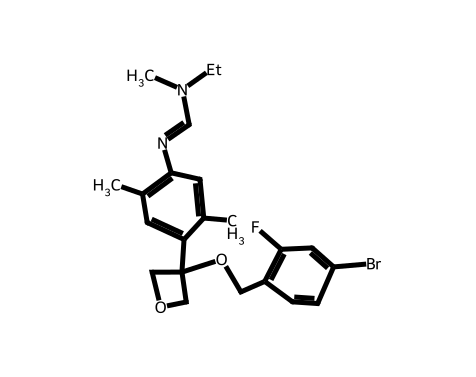 CCN(C)C=Nc1cc(C)c(C2(OCc3ccc(Br)cc3F)COC2)cc1C